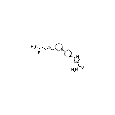 CC(F)CCOCC1CCCN(C2CCN(c3ncc(C(N)=O)s3)CC2)C1